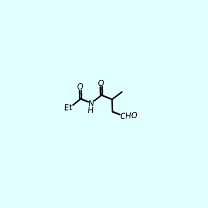 CCC(=O)NC(=O)C(C)CC=O